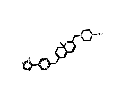 CC12CC=C(Oc3ccc(-c4ccn[nH]4)cn3)C=C1C=CC(CN1CCN(C=O)CC1)=N2